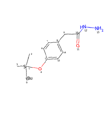 CC(C)(C)[Si](C)(C)Oc1ccc(CC(=O)NN)cc1